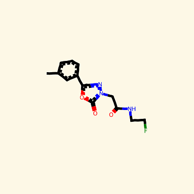 Cc1cccc(-c2nn(CC(=O)NCCF)c(=O)o2)c1